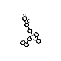 c1ccc2c(-c3ccc(N(c4ccc(-c5ccc6c(c5)oc5cnccc56)cc4)c4cccc5c4oc4ccccc45)cc3)cccc2c1